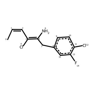 C/C=C\C(Cl)=C(/N)Cc1ccc(Cl)c(F)c1